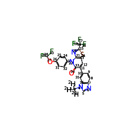 [2H]C([2H])([2H])n1cnc2ccc(-c3cc4sc(C(F)(F)F)nc4n(-c4ccc(OC(F)F)cc4)c3=O)cc21